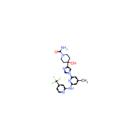 Cc1cc(Nc2cc(C(F)(F)F)ccn2)nc(-n2cnc(C3(O)CCN(C(N)=O)CC3)c2)c1